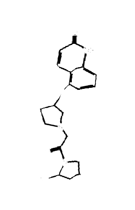 N#CC1CCCN1C(=O)CN1CCC(Oc2cccc3[nH]c(=O)ccc23)C1